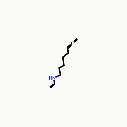 C=C=CCCCCCNC=C